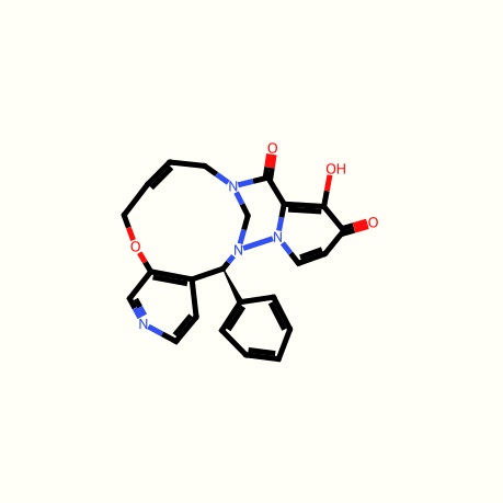 O=C1c2c(O)c(=O)ccn2N2CN1C/C=C\COc1cnccc1[C@@H]2c1ccccc1